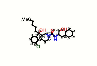 COCCCC[C@@](O)(c1cccc(Cl)c1)[C@@H]1CCCN(C(=O)NC(CO)CC2CCCCC2)C1